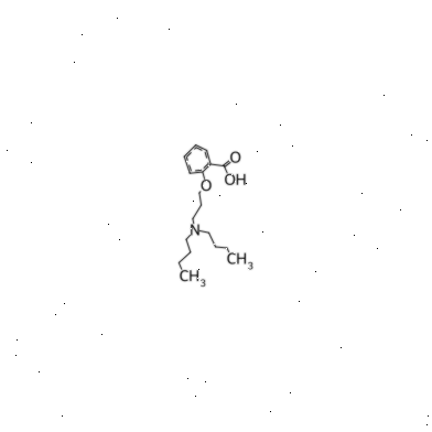 CCCCN(CCCC)CCCOc1ccccc1C(=O)O